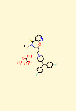 CN1CC(CCN2CCC(C(c3ccc(F)cc3)c3ccc(F)cc3)CC2)Oc2ncccc2C1=S.O.O=C(O)C(=O)O